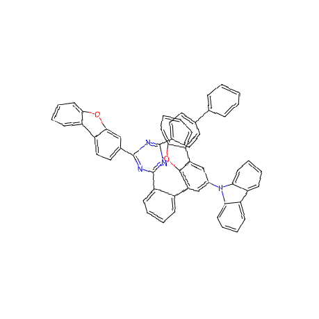 c1ccc(-c2ccc(-c3nc(-c4ccc5c(c4)oc4ccccc45)nc(-c4ccccc4-c4cc(-n5c6ccccc6c6ccccc65)cc5c4oc4ccccc45)n3)cc2)cc1